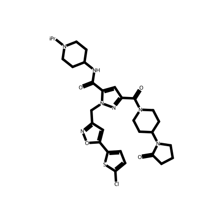 CC(C)N1CCC(NC(=O)c2cc(C(=O)N3CCC(N4CCCC4=O)CC3)nn2Cc2cc(-c3ccc(Cl)s3)on2)CC1